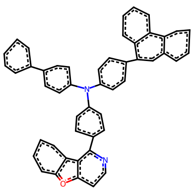 c1ccc(-c2ccc(N(c3ccc(-c4cc5ccccc5c5ccccc45)cc3)c3ccc(-c4nccc5oc6ccccc6c45)cc3)cc2)cc1